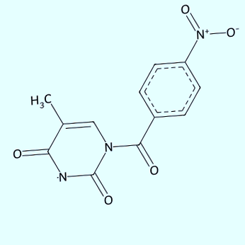 CC1=CN(C(=O)c2ccc([N+](=O)[O-])cc2)C(=O)[N]C1=O